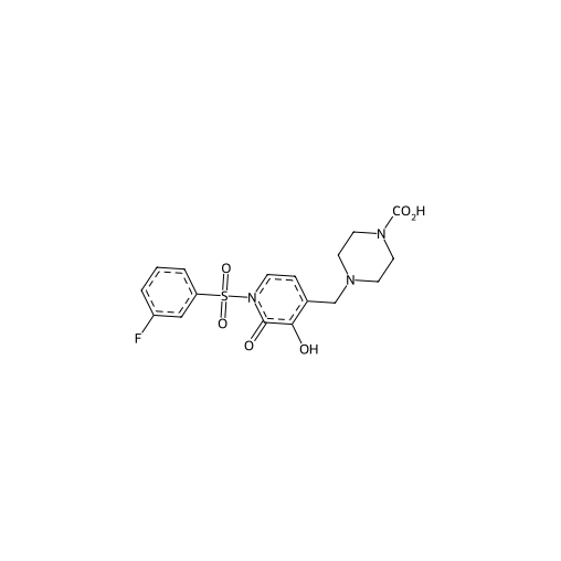 O=C(O)N1CCN(Cc2ccn(S(=O)(=O)c3cccc(F)c3)c(=O)c2O)CC1